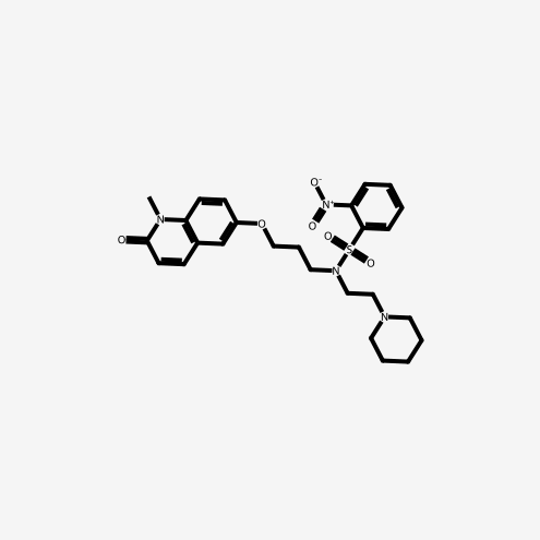 Cn1c(=O)ccc2cc(OCCCN(CCN3CCCCC3)S(=O)(=O)c3ccccc3[N+](=O)[O-])ccc21